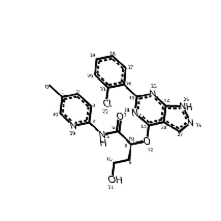 Cc1ccc(NC(=O)[C@H](CCO)Oc2nc(-c3ccccc3Cl)nc3[nH]ncc23)nc1